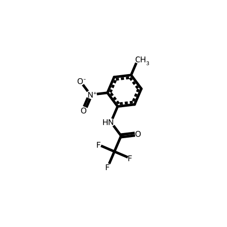 Cc1ccc(NC(=O)C(F)(F)F)c([N+](=O)[O-])c1